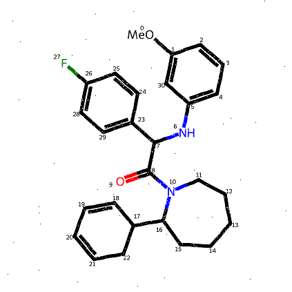 COc1cccc(NC(C(=O)N2CCCCCC2C2C=CC=CC2)c2ccc(F)cc2)c1